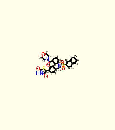 O=C1NC(=O)C(c2ccc(CN(c3cccc(C(=O)N4CCOCC4)c3)S(=O)(=O)c3ccc4ccccc4c3)cc2)S1